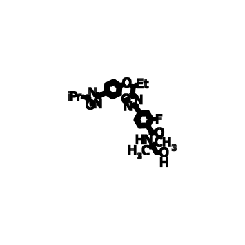 CCC(Oc1ccc(-c2noc(C(C)C)n2)cc1)c1nc(-c2ccc(C(=O)NC(C)(C)CO)c(F)c2)no1